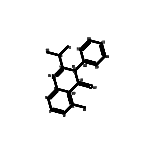 Cc1cccc2nc(C(C)C)n(-c3ccccc3)c(=O)c12